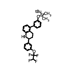 CC(C)(C)[Si](C)(C)Oc1cccc(-c2cccc3c2CCC(c2cccc(OC(F)(F)C(F)F)c2)N3)c1